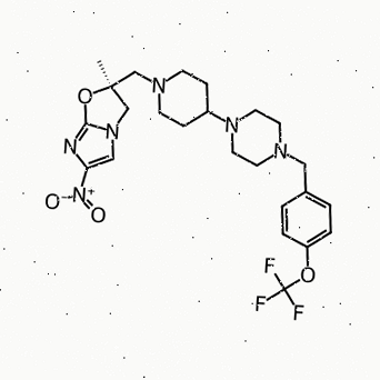 C[C@]1(CN2CCC(N3CCN(Cc4ccc(OC(F)(F)F)cc4)CC3)CC2)Cn2cc([N+](=O)[O-])nc2O1